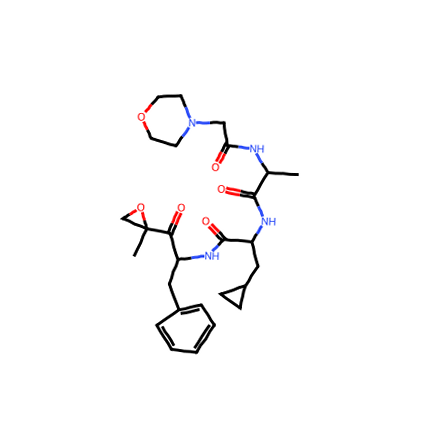 CC(NC(=O)CN1CCOCC1)C(=O)NC(CC1CC1)C(=O)NC(Cc1ccccc1)C(=O)C1(C)CO1